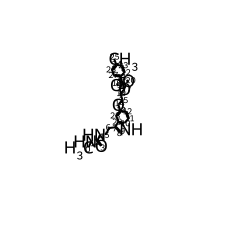 CNC(=O)NCCc1c[nH]c2ccc(OCCOS(=O)(=O)c3ccc(C)cc3)cc12